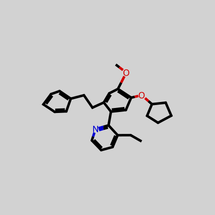 CCc1cccnc1-c1cc(OC2CCCC2)c(OC)cc1CCc1ccccc1